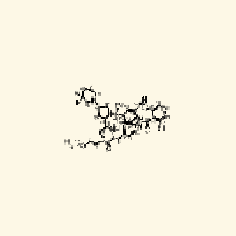 COCCOC(=O)[C@H](Cc1ccc(NC(=O)c2c(Cl)cncc2Cl)cc1)NC(=O)C1C[C@@H](N2CCCC(F)(F)C2)CN1S(=O)(=O)c1cccc(C#N)c1